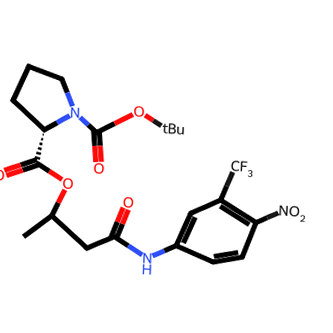 CC(CC(=O)Nc1ccc([N+](=O)[O-])c(C(F)(F)F)c1)OC(=O)[C@@H]1CCCN1C(=O)OC(C)(C)C